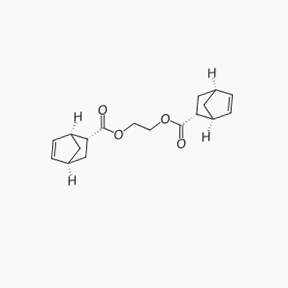 O=C(OCCOC(=O)[C@@H]1C[C@H]2C=C[C@@H]1C2)[C@@H]1C[C@H]2C=C[C@@H]1C2